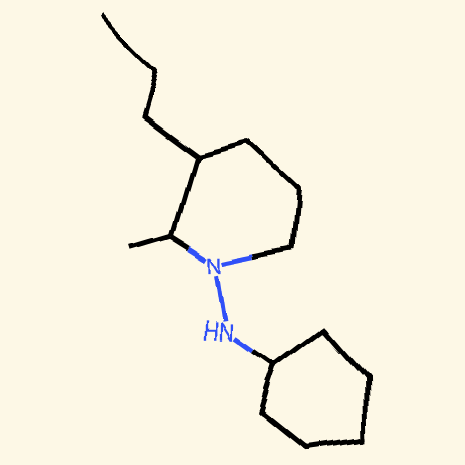 CCCC1CCCN(NC2CCCCC2)C1C